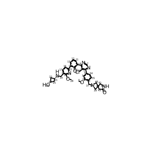 COc1cc(-c2ncnc(-c3cccc(-c4ccc(CN[C@H]5C[C@H](O)C5)c(OC)n4)c3Cl)c2Cl)ccc1CN1CC2(CNC(=O)C2)C1